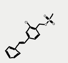 CS(=O)(=O)OCc1ccc(C=Cc2ccccc2)cc1Cl